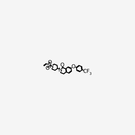 C=CS(=O)(=O)N1CCC(N2CCc3ccc(Oc4ccc(C(F)(F)F)cc4)cc3C2=O)CC1